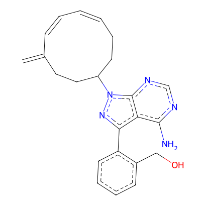 C=C1/C=C\C=C/CCC(n2nc(-c3ccccc3CO)c3c(N)ncnc32)CC1